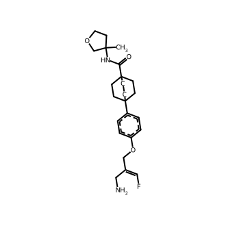 CC1(NC(=O)C23CCC(c4ccc(OCC(=CF)CN)cc4)(CC2)CC3)CCOC1